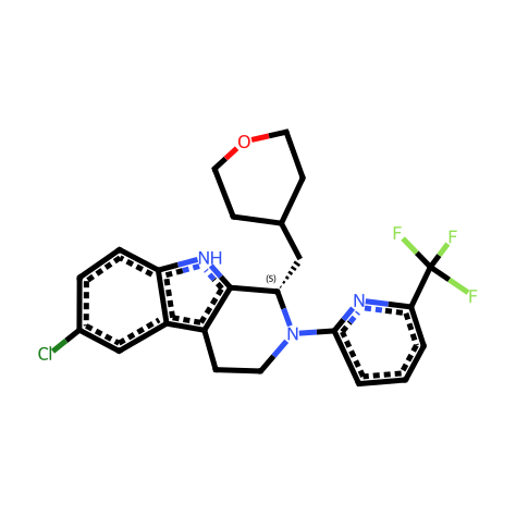 FC(F)(F)c1cccc(N2CCc3c([nH]c4ccc(Cl)cc34)[C@@H]2CC2CCOCC2)n1